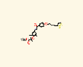 Cc1cc(/C=C/C(=O)c2ccc(OCCCCCC3CCSS3)cc2)cc(C)c1OC(C)(C)C(=O)OC(C)(C)C